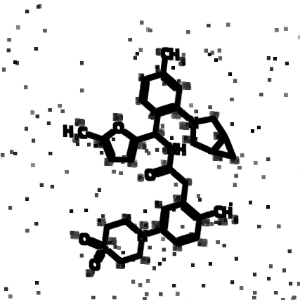 Cc1ccc(C(NC(=O)Cc2cc(N3CCS(=O)(=O)CC3)ccc2C)c2ccc(C)o2)c(N2CC3CC3C2)c1